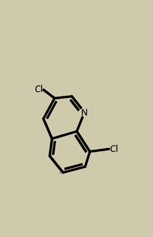 Clc1cnc2c(Cl)c[c]cc2c1